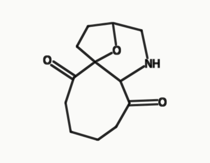 O=C1CCCCC(=O)C23CCC(CNC12)O3